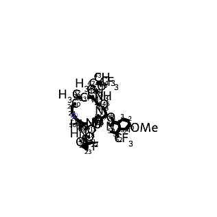 COc1ccc2c(O[C@@H]3C[C@H]4C(=O)N[C@]5(C(=O)NS(=O)(=O)C6(CF)CC6)C[C@H]5/C=C\CC[C@@H](C)C[C@@H](C)[C@H](NC(=O)OC(C)(C)C(F)(F)F)C(=O)N4C3)ncc(C(F)(F)F)c2c1